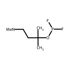 CNCCC(C)(C)OP(F)F